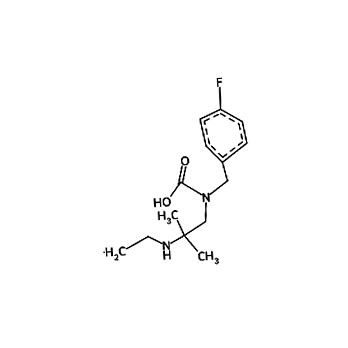 [CH2]CNC(C)(C)CN(Cc1ccc(F)cc1)C(=O)O